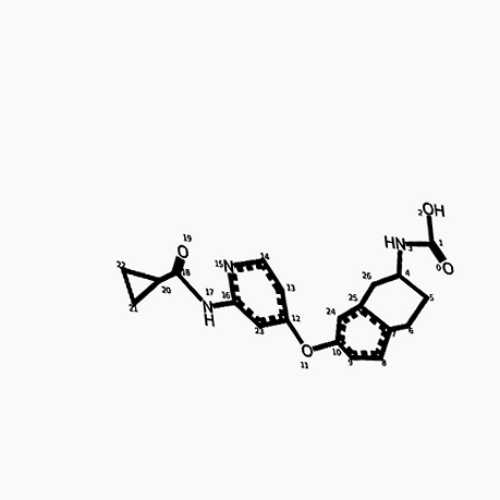 O=C(O)NC1CCc2ccc(Oc3ccnc(NC(=O)C4CC4)c3)cc2C1